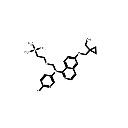 C[Si](C)(C)CCOCN(c1ccc(Cl)nc1)c1nccc2cc(OCC3(CO)CC3)ccc12